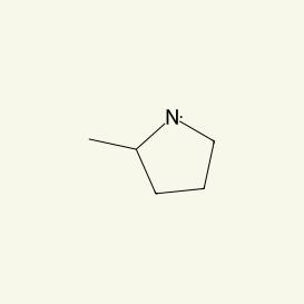 CC1CCC[N]1